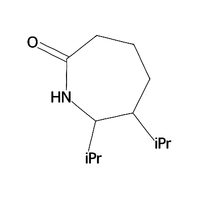 CC(C)C1CCCC(=O)NC1C(C)C